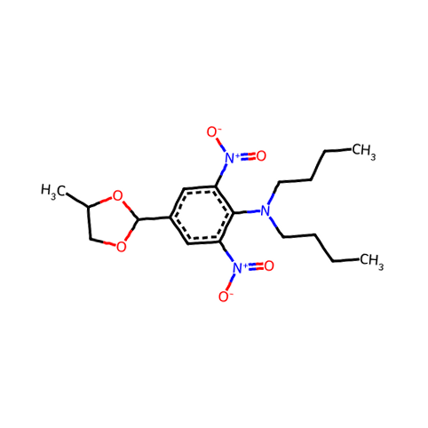 CCCCN(CCCC)c1c([N+](=O)[O-])cc(C2OCC(C)O2)cc1[N+](=O)[O-]